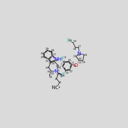 C=C(CCC#N)N1[C@@H](c2c(F)cc(O[C@H]3CCN(CCCF)C3)cc2F)c2[nH]c3ccccc3c2C[C@@H]1C